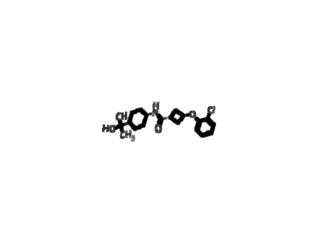 CC(C)(O)[C@H]1CC[C@H](NC(=O)[C@H]2C[C@H](Oc3ccccc3Cl)C2)CC1